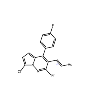 CC(=O)/C=C/c1c(C(C)C)nn2c(Cl)ccc2c1-c1ccc(F)cc1